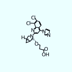 O=C(O)CCOC[C@@H]1C2C[C@@H]2CN1c1cc(-n2ccnc2)c2ccc(Cl)c(Cl)c2n1